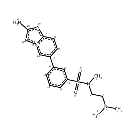 CN(C)CCN(C)S(=O)(=O)c1cccc(-c2ccc3nc(N)nn3c2)c1